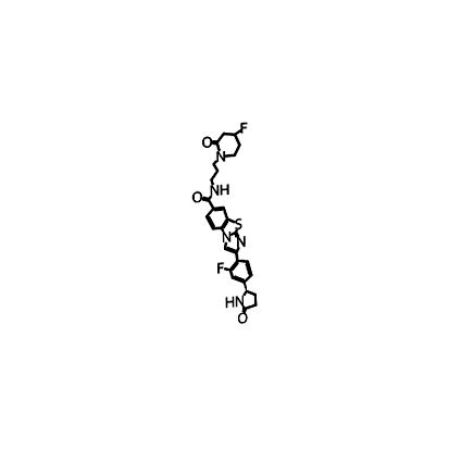 O=C1CC[C@H](c2ccc(-c3cn4c(n3)sc3cc(C(=O)NCCCN5CCC(F)CC5=O)ccc34)c(F)c2)N1